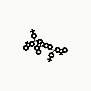 CC(C)(C)c1ccc(N(c2ccc3c(c2)C(C)(C)c2ccccc2-3)c2ccc3cc4c5ccc(N(c6ccc(C(C)(C)C)cc6)c6ccc7c(c6)C(C)(C)c6ccccc6-7)c6c7ccc8ccccc8c7n(c4cc3c2)c56)cc1